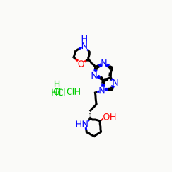 Cl.Cl.Cl.O[C@H]1CCCN[C@@H]1CCCn1cnc2cnc(C3CNCCO3)nc21